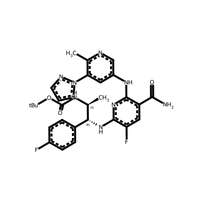 Cc1ncc(Nc2nc(N[C@H](c3ccc(F)cc3)[C@H](C)NC(=O)OC(C)(C)C)c(F)cc2C(N)=O)cc1-n1nccn1